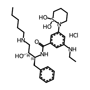 CCCCCNC[C@@H](O)[C@H](Cc1ccccc1)NC(=O)c1cc(NCC)cc(N2CCCCS2(O)O)c1.Cl